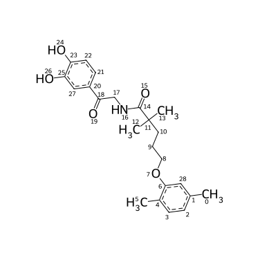 Cc1ccc(C)c(OCCCC(C)(C)C(=O)NCC(=O)c2ccc(O)c(O)c2)c1